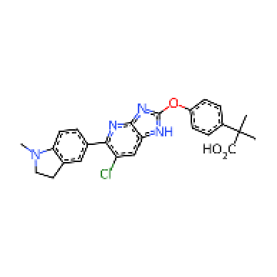 CN1CCc2cc(-c3nc4nc(Oc5ccc(C(C)(C)C(=O)O)cc5)[nH]c4cc3Cl)ccc21